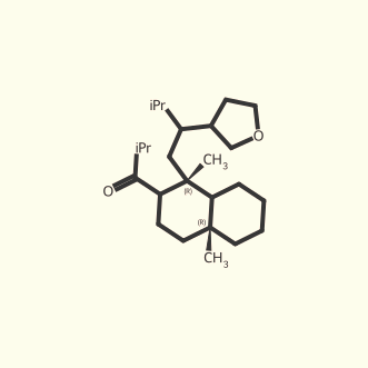 CC(C)C(=O)C1CC[C@@]2(C)CCCCC2[C@@]1(C)CC(C(C)C)C1CCOC1